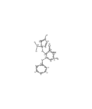 CC1=N[N+](Cc2c(Cc3ccccc3)cc(C)[nH]c2=O)(C(C)C)C=C1